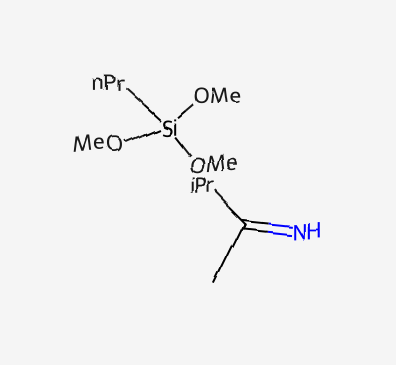 CC(=N)C(C)C.CCC[Si](OC)(OC)OC